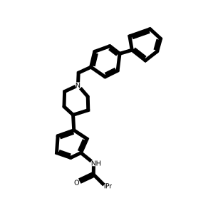 CC(C)C(=O)Nc1cccc(C2CCN(Cc3ccc(-c4ccccc4)cc3)CC2)c1